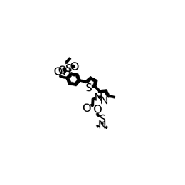 CCS(=O)(=O)c1cc(-c2ccc(-c3cc(C)nn3CC(=O)OCSN(C)C)s2)ccc1CO